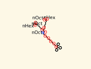 CCCCCCCCC(CCCCCC)OC(=O)CCCCCOCC(OCCCCCC(=O)OC(CCCCCC)CCCCCCCC)C(=O)N(CCCCCCCC)CCOCCOCCOCCOCCOC(c1ccccc1)(c1ccccc1)c1ccccc1